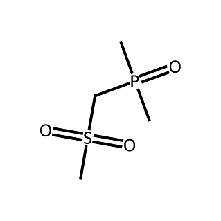 CP(C)(=O)CS(C)(=O)=O